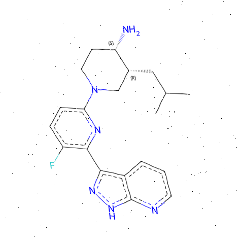 CC(C)C[C@@H]1CN(c2ccc(F)c(-c3n[nH]c4ncccc34)n2)CC[C@@H]1N